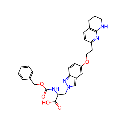 O=C(NC(Cn1cc2cc(OCCc3ccc4c(n3)NCCC4)ccc2n1)C(=O)O)OCc1ccccc1